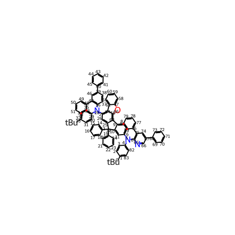 CC(C)(C)c1ccc(N(c2ccc3c(c2)C(c2ccccc2)(c2ccccc2)c2cc(N(c4ccc(C(C)(C)C)cc4)c4ccc(-c5ccccc5)cc4-c4ccccc4)c4c(oc5ccccc54)c2-3)c2ncc(-c3ccccc3)cc2-c2ccccc2)cc1